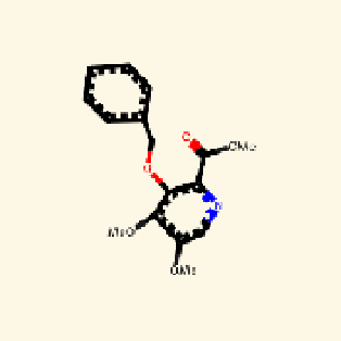 COC(=O)c1ncc(OC)c(OC)c1OCc1ccccc1